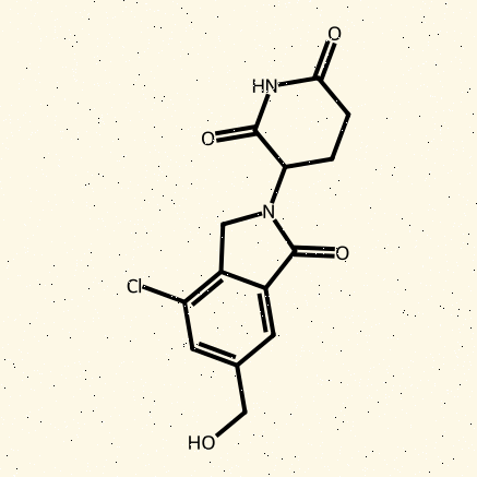 O=C1CCC(N2Cc3c(Cl)cc(CO)cc3C2=O)C(=O)N1